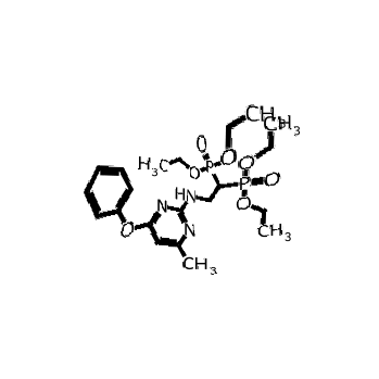 CCOP(=O)(OCC)C(CNc1nc(C)cc(Oc2ccccc2)n1)P(=O)(OCC)OCC